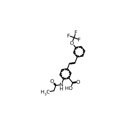 CCC(=O)Nc1ccc(/C=C/c2cccc(OC(F)(F)F)c2)cc1C(=O)O